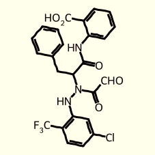 O=CC(=O)N(Nc1cc(Cl)ccc1C(F)(F)F)C(Cc1ccccc1)C(=O)Nc1ccccc1C(=O)O